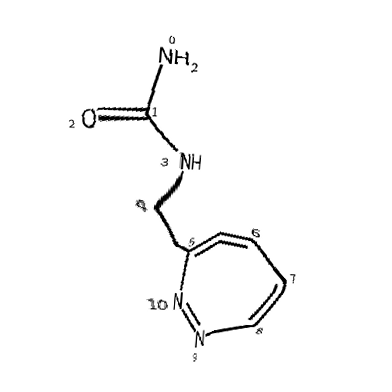 NC(=O)NCc1cccnn1